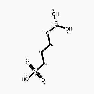 O=S(=O)(O)CCCO[SiH](O)O